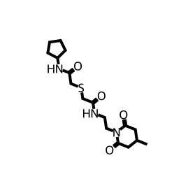 CC1CC(=O)N(CCNC(=O)CSCC(=O)NC2CCCC2)C(=O)C1